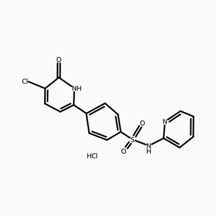 Cl.O=c1[nH]c(-c2ccc(S(=O)(=O)Nc3ccccn3)cc2)ccc1Cl